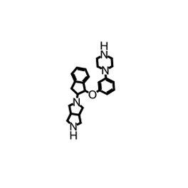 c1cc(OC2c3ccccc3CC2N2CC3CNCC3C2)cc(N2CCNCC2)c1